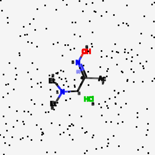 CCN(CC)C/C(=N/O)C(C)=O.Cl